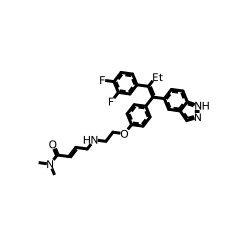 CC/C(=C(/c1ccc(OCCNC/C=C/C(=O)N(C)C)cc1)c1ccc2[nH]ncc2c1)c1ccc(F)c(F)c1